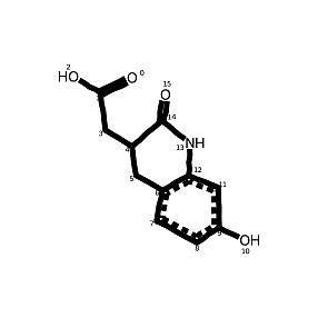 O=C(O)CC1Cc2ccc(O)cc2NC1=O